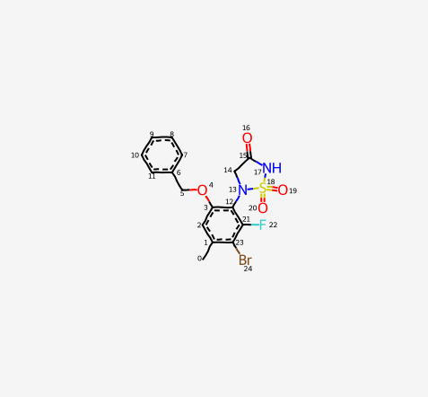 Cc1cc(OCc2ccccc2)c(N2CC(=O)NS2(=O)=O)c(F)c1Br